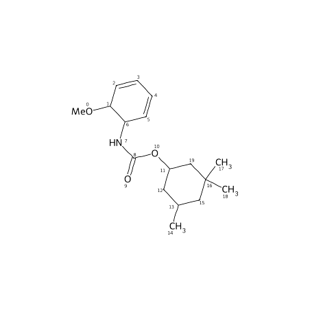 COC1C=CC=CC1NC(=O)OC1CC(C)CC(C)(C)C1